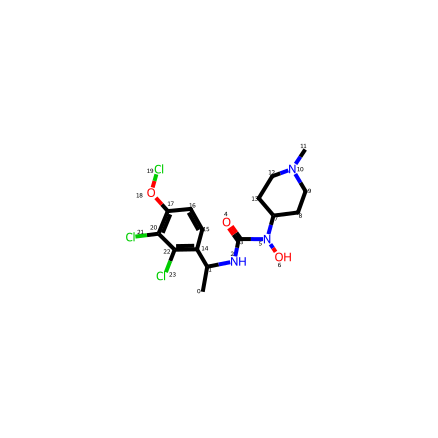 CC(NC(=O)N(O)C1CCN(C)CC1)c1ccc(OCl)c(Cl)c1Cl